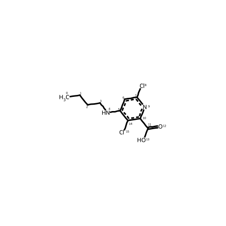 CCCCNc1cc(Cl)nc(C(=O)O)c1Cl